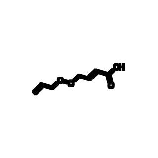 C=CCOOCC=CC(=O)O